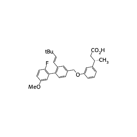 COc1ccc(F)c(-c2ccc(COc3cccc([C@@H](C)CC(=O)O)c3)cc2/C=C/C(C)(C)C)c1